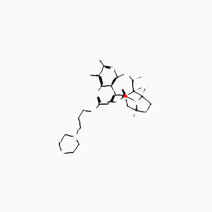 C[C@H](COc1nc2c3c(nc(Cl)c(F)c3n1)O[C@@H](C)[C@@H]1[C@@H]3CC[C@H](CN21)N3C(=O)OC(C)(C)C)CN1CCOCC1